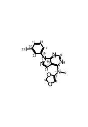 CN(C1=COCO1)c1ncnc2c1cnn2-c1cccc(I)c1